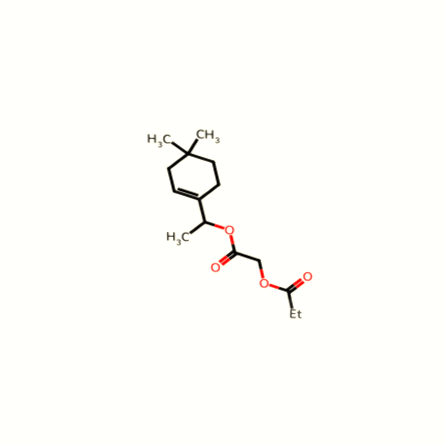 CCC(=O)OCC(=O)OC(C)C1=CCC(C)(C)CC1